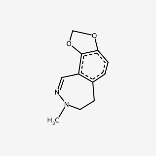 CN1CCc2ccc3c(c2C=N1)OCO3